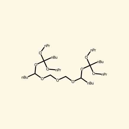 CCCCC(OCOCOC(CCCC)OC(CCCC)(OCCC)OCCC)OC(CCCC)(OCCC)OCCC